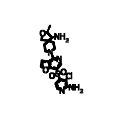 C[C@@H]1OCC2(CCN(c3ncc(S(=O)(=O)c4ccnc(N)c4Cl)c4occc34)CC2)[C@@H]1N